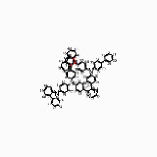 c1ccc(-c2ccc(N(c3ccc(-c4nccnc4-c4ccc(N(c5ccc(-c6ccccc6)cc5)c5ccc(-n6c7ccccc7c7ccccc76)cc5)cc4)cc3)c3ccc(-n4c5ccccc5c5ccccc54)cc3)cc2)cc1